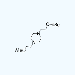 CCCCOCCN1CCN(CCOC)CC1